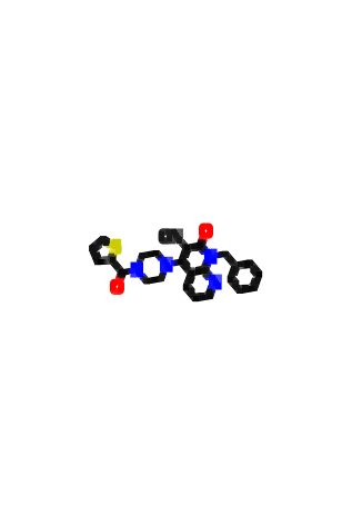 O=Nc1c(N2CCN(C(=O)c3cccs3)CC2)c2cccnc2n(Cc2ccccc2)c1=O